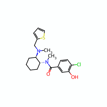 CN(Cc1cccs1)[C@@H]1CCCC[C@H]1N(C)C(=O)c1ccc(Cl)c(O)c1